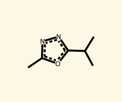 C[C](C)c1nnc(C)o1